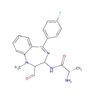 C[C@H](N)C(=O)NC1N=C(c2ccc(F)cc2)c2ccccc2N(C)C1C=O